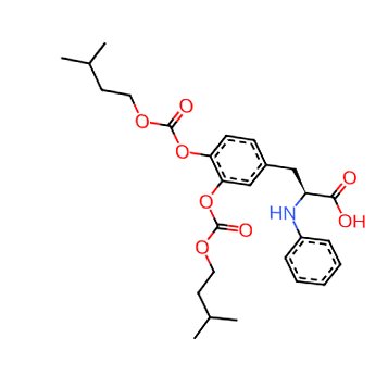 CC(C)CCOC(=O)Oc1ccc(C[C@H](Nc2ccccc2)C(=O)O)cc1OC(=O)OCCC(C)C